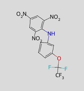 O=[N+]([O-])c1cc([N+](=O)[O-])c(Nc2cccc(OC(F)(F)C(F)(F)F)c2)c([N+](=O)[O-])c1